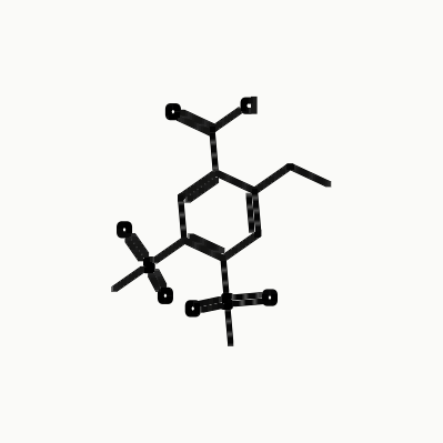 CCc1cc(S(C)(=O)=O)c(S(C)(=O)=O)cc1C(=O)Cl